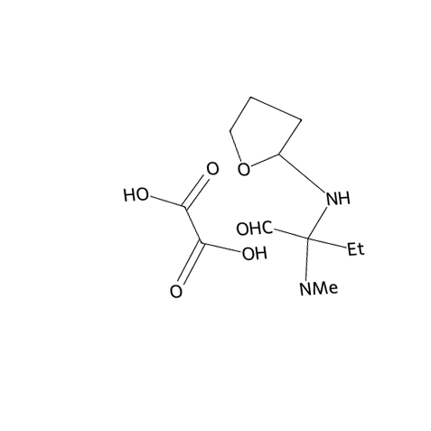 CCC(C=O)(NC)NC1CCCO1.O=C(O)C(=O)O